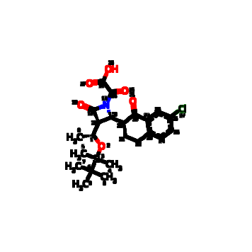 C[C@@H](O[Si](C)(C)C(C)(C)C)[C@H]1C(=O)N(C(=O)C(=O)O)[C@@H]1[C@@H]1CCc2ccc(Cl)cc2C1=O